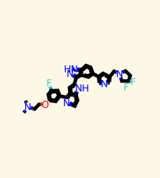 CN(C)CCOc1cc(F)cc(-c2nccc3[nH]c(-c4n[nH]c5ccc(-c6cncc(CN7CCC(F)(F)C7)c6)cc45)cc23)c1